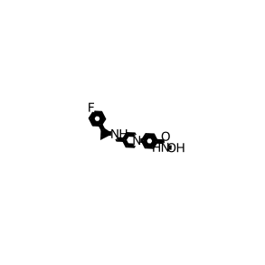 O=C(NO)c1ccc(N2CCC(CNC3CC3c3ccc(F)cc3)CC2)cc1